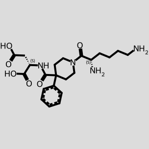 NCCCC[C@H](N)C(=O)N1CCC(C(=O)N[C@@H](CC(=O)O)C(=O)O)(c2ccccc2)CC1